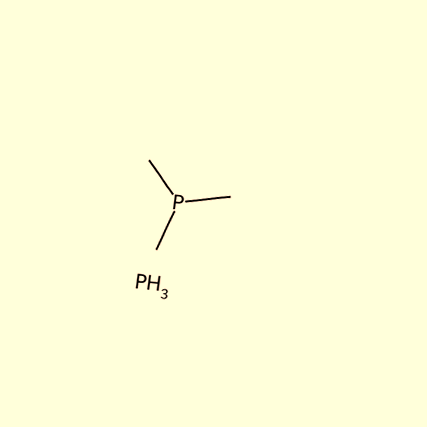 CP(C)C.P